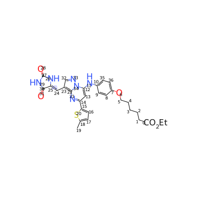 CCOC(=O)CCCCCOc1ccc(Nc2cc(-c3ccc(C)s3)nc3c(/C=C4\NC(=O)NC4=O)cnn23)cc1